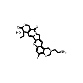 CC[C@@]1(O)C(=O)OCc2c1cc1n(c2=O)Cc2cc3c4c(c(F)cc3nc2-1)OCN(CCN)C4